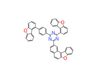 c1ccc2c(c1)oc1cccc(-c3ccc(-c4nc(-c5ccc6ccc7oc8ccccc8c7c6c5)nc(-c5cccc6oc7ccccc7c56)n4)cc3)c12